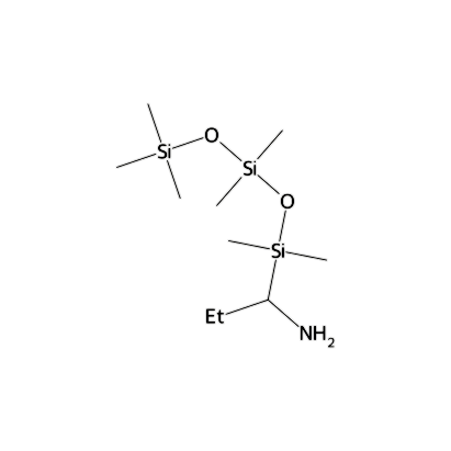 CCC(N)[Si](C)(C)O[Si](C)(C)O[Si](C)(C)C